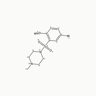 COc1ccc(Br)cc1S(=O)(=O)N1CCN(C)CC1